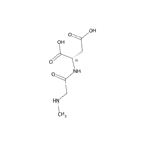 CNCC(=O)N[C@@H](CC(=O)O)C(=O)O